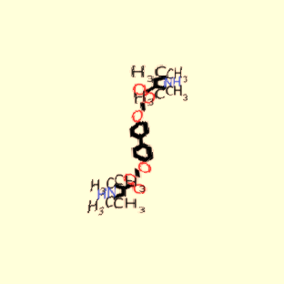 CC1(C)CC(C(=O)OCCOc2ccc(-c3ccc(OCCOC(=O)C4CC(C)(C)NC4(C)C)cc3)cc2)C(C)(C)N1